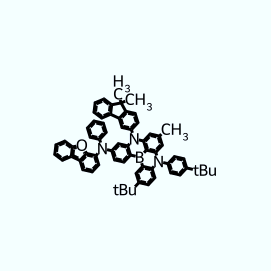 Cc1cc2c3c(c1)N(c1ccc4c(c1)-c1ccccc1C4(C)C)c1cc(N(c4ccccc4)c4cccc5c4oc4ccccc45)ccc1B3c1cc(C(C)(C)C)ccc1N2c1ccc(C(C)(C)C)cc1